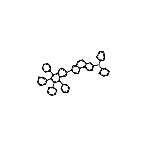 c1ccc(-c2c(-c3ccccc3)c(-c3ccccc3)c3cc(-c4ccc5c(ccc6cc(N(c7ccccc7)c7ccccc7)ccc65)c4)ccc3c2-c2ccccc2)cc1